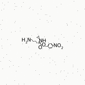 NCCCC[C@H](NC1CC1)C(=O)OCc1ccc([N+](=O)[O-])cc1